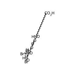 O=C(O)CCCCCCCCCCCCCCCCCCC(=O)NCCOCCOCCOCCNC(=O)[C@H](CCCNC(=O)CBr)NC(=O)CBr